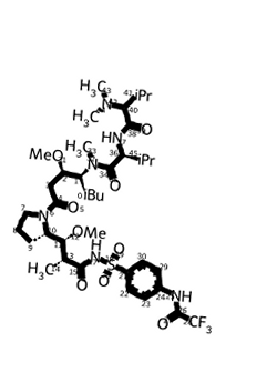 CC[C@H](C)[C@@H]([C@@H](CC(=O)N1CCC[C@H]1[C@H](OC)[C@@H](C)C(=O)NS(=O)(=O)c1ccc(NC(=O)C(F)(F)F)cc1)OC)N(C)C(=O)[C@@H](NC(=O)C(C(C)C)N(C)C)C(C)C